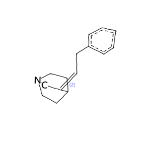 C(/Cc1ccccc1)=C1/CN2CCC1CC2